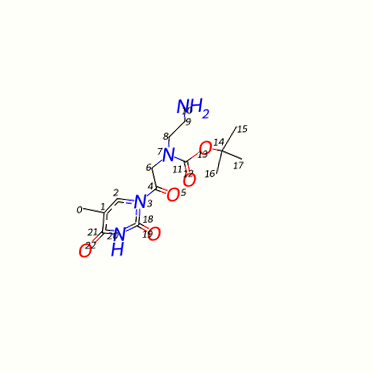 Cc1cn(C(=O)CN(CCN)C(=O)OC(C)(C)C)c(=O)[nH]c1=O